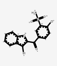 CCc1c(C(=O)c2ccc(Cl)c(S(N)(=O)=O)c2)oc2ccccc12